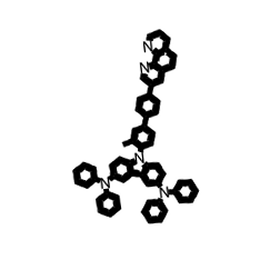 Cc1cc(-c2ccc(-c3cnc4c(ccc5cccnc54)c3)cc2)ccc1-n1c2ccc(N(c3ccccc3)c3ccccc3)cc2c2cc(N(c3ccccc3)c3ccccc3)ccc21